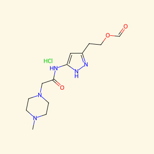 CN1CCN(CC(=O)Nc2cc(CCOC=O)n[nH]2)CC1.Cl